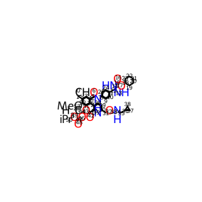 C=Cc1cc(C(=O)Nc2ccc(C(=N)NC(=O)OC3CCCCC3)cc2)c(-c2ccc(COCNCC3CC3)nc2C(=O)OC(C)OC(=O)OC(C)C)cc1OC